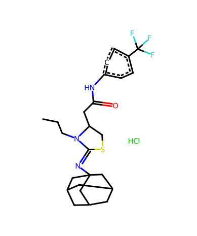 CCCN1C(=NC23CC4CC(CC(C4)C2)C3)SCC1CC(=O)Nc1ccc(C(F)(F)F)cc1.Cl